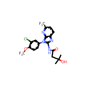 CC(C)(O)CC(=O)Nc1nc2ccc(C(F)(F)F)nc2n1-c1ccc(OC(F)(F)F)c(Cl)c1